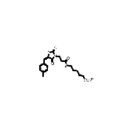 Cc1ccc(/C=C2/SC(=S)N(CCC(=O)NCCCCCC(=O)O)C2=O)cc1